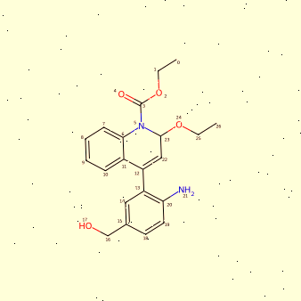 CCOC(=O)N1c2ccccc2C(c2cc(CO)ccc2N)=CC1OCC